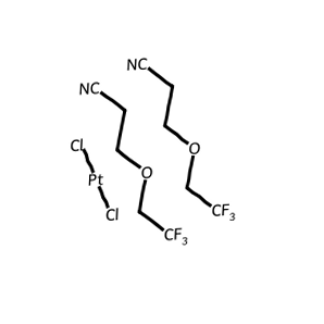 N#CCCOCC(F)(F)F.N#CCCOCC(F)(F)F.[Cl][Pt][Cl]